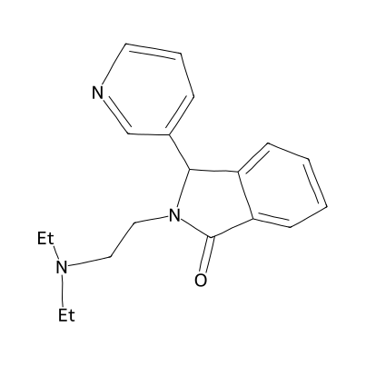 CCN(CC)CCN1C(=O)c2ccccc2C1c1cccnc1